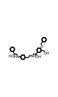 OCc1cc([C@@H](O)CNCCc2ccc(NC[C@@H](O)c3ccccc3)cc2)ccc1OCc1ccccc1